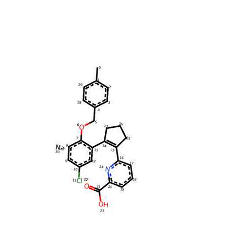 Cc1ccc(COc2ccc(Cl)cc2C2=C(c3cccc(C(=O)O)n3)CCC2)cc1.[Na]